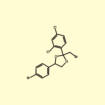 Clc1ccc(C2(CBr)OCC(c3ccc(Br)cc3)O2)c(Cl)c1